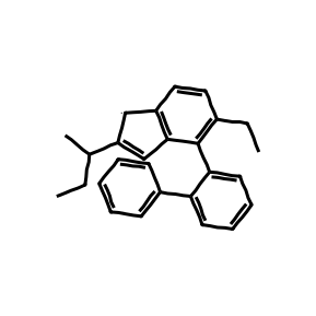 CCc1ccc2c(c1-c1ccccc1-c1ccccc1)C=C(C(C)CC)[CH]2